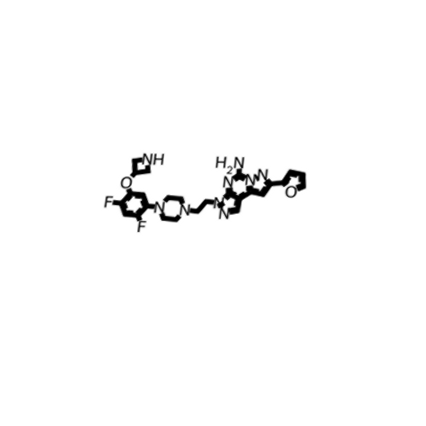 Nc1nc2c(cnn2CCN2CCN(c3cc(OC4CNC4)c(F)cc3F)CC2)c2cc(-c3ccco3)nn12